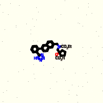 CCOC(=O)N(Cc1ccc2cc(-c3ccccc3-c3nnn[nH]3)ccc2c1)CC1(OC(=O)O)CCCC1